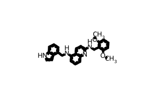 COc1cccc(OC)c1CNc1ccc2c(NCc3cccc4[nH]ccc34)cccc2n1